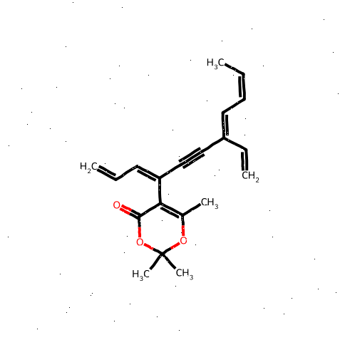 C=C/C=C(/C#C/C(C=C)=C/C=C\C)C1=C(C)OC(C)(C)OC1=O